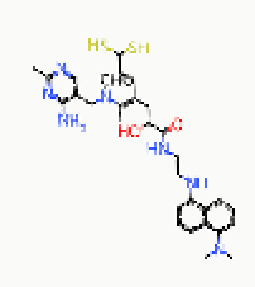 CC(=C(CCC(S)S)CC(O)C(=O)NCCNc1cccc2c(N(C)C)cccc12)N(C=O)Cc1cnc(C)nc1N